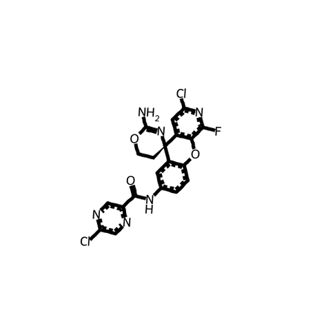 NC1=N[C@@]2(CCO1)c1cc(NC(=O)c3cnc(Cl)cn3)ccc1Oc1c2cc(Cl)nc1F